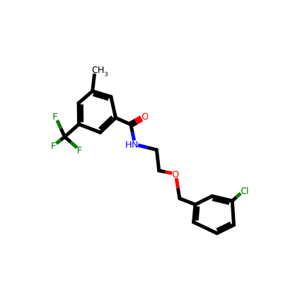 Cc1cc(C(=O)NCCOCc2cccc(Cl)c2)cc(C(F)(F)F)c1